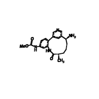 COC(=O)Nc1ccc2c(c1)NC(=O)[C@H](C)CCC[C@H](N)c1cncc-2c1